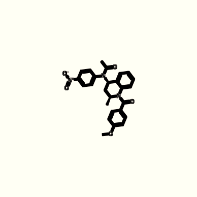 COc1ccc(C(=O)N2c3ccccc3[C@H](N(C(C)=O)c3ccc([N+](=O)[O-])cc3)C[C@@H]2C)cc1